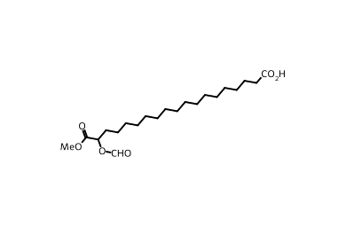 COC(=O)C(CCCCCCCCCCCCCCCCC(=O)O)OC=O